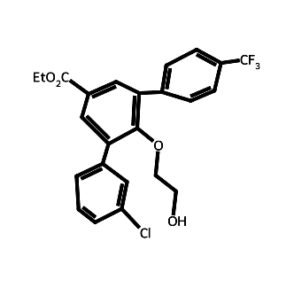 CCOC(=O)c1cc(-c2ccc(C(F)(F)F)cc2)c(OCCO)c(-c2cccc(Cl)c2)c1